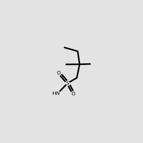 CCC(C)(C)CS([NH])(=O)=O